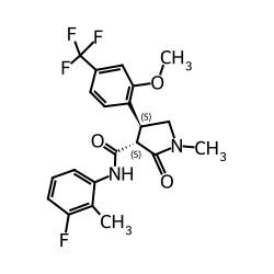 COc1cc(C(F)(F)F)ccc1[C@H]1CN(C)C(=O)[C@@H]1C(=O)Nc1cccc(F)c1C